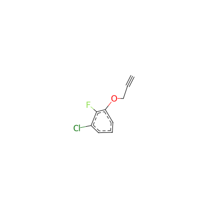 C#CCOc1cccc(Cl)c1F